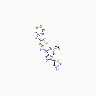 Cc1cn2c(-c3cn[nH]c3)cnc2c(Nc2cc(CN3CCOCC3)cs2)n1